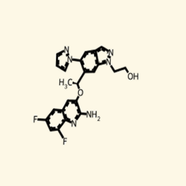 C[C@H](Oc1cc2cc(F)cc(F)c2nc1N)c1cc2c(cnn2CCO)cc1-n1cccn1